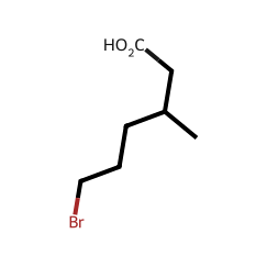 CC(CCCBr)CC(=O)O